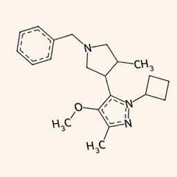 COc1c(C)nn(C2CCC2)c1C1CN(Cc2ccccc2)CC1C